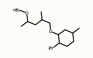 CCCCOC(C)CC(C)COC1CC(C)CCC1C(C)C